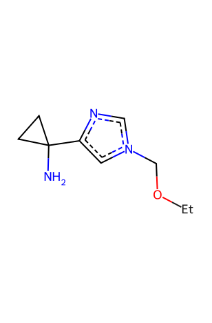 CCOCn1cnc(C2(N)CC2)c1